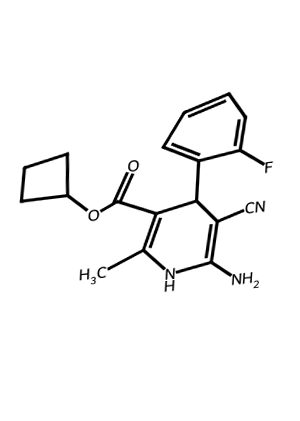 CC1=C(C(=O)OC2CCC2)C(c2ccccc2F)C(C#N)=C(N)N1